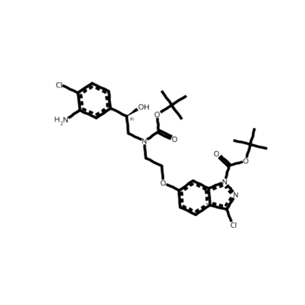 CC(C)(C)OC(=O)N(CCOc1ccc2c(Cl)nn(C(=O)OC(C)(C)C)c2c1)C[C@H](O)c1ccc(Cl)c(N)c1